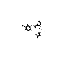 Cc1cc(C)c(C(=O)NN)c(C)c1NC(=O)c1sccc1S(=O)(=O)Nc1onc(C)c1Cl